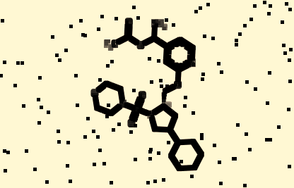 NC(OC(=O)C(F)(F)F)c1ccnc(OC[C@@H]2CC(C3CCCCC3)CN2S(=O)(=O)N2CCOCC2)c1